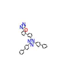 c1ccc(-c2ccc(-c3nc(-c4ccc(-c5ccccc5)cc4)nc(-c4cccc(-c5cccc6c5oc5cncnc56)c4)n3)cc2)cc1